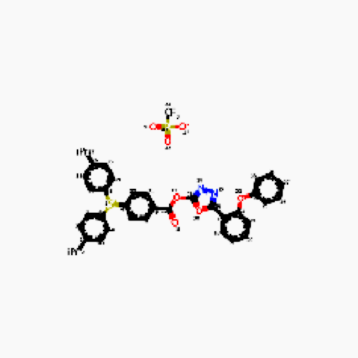 CC(C)c1ccc([S+](c2ccc(C(=O)Oc3nnc(-c4ccccc4Oc4ccccc4)o3)cc2)c2ccc(C(C)C)cc2)cc1.O=S(=O)([O-])C(F)(F)F